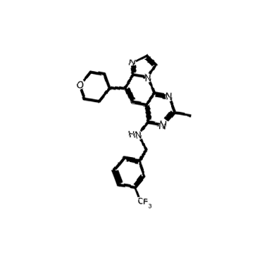 Cc1nc(NCc2cccc(C(F)(F)F)c2)c2cc(C3CCOCC3)c3nccn3c2n1